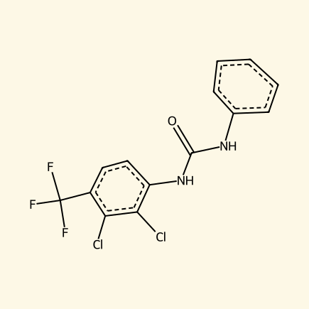 O=C(Nc1ccccc1)Nc1ccc(C(F)(F)F)c(Cl)c1Cl